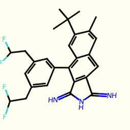 Cc1cc2cc3c(c(-c4cc(CC(F)F)cc(CC(F)F)c4)c2cc1C(C)(C)C)C(=N)NC3=N